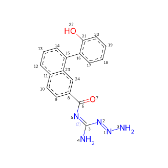 NN=N/C(N)=N\C(=O)c1ccc2cccc(-c3ccccc3O)c2c1